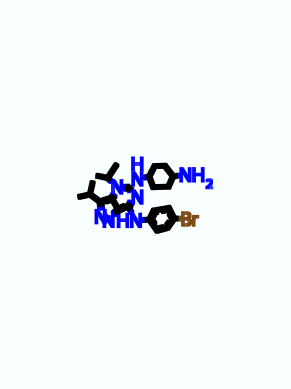 CC(C)c1nnc2c(Nc3ccc(Br)cc3)nc(NC3CCC(N)CC3)n(C(C)C)c1-2